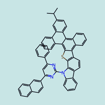 CC(C)c1ccc2c(c1)c1ccccc1c1c3sc4c(ccc5c6ccccc6n(-c6nc(-c7ccccc7)cc(-c7ccc8ccccc8c7)n6)c54)c3c3ccccc3c21